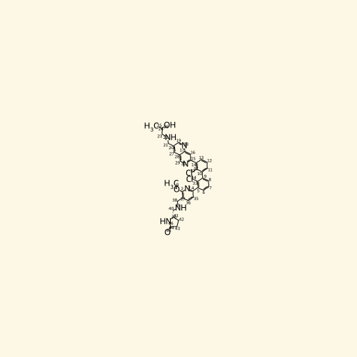 COc1nc(-c2cccc(-c3cccc(-c4cc5ncc(CNCC(C)O)cc5cn4)c3Cl)c2Cl)ccc1CNC[C@@H]1CCC(=O)N1